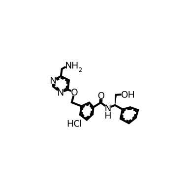 Cl.NCc1cc(OCc2cccc(C(=O)N[C@@H](CO)c3ccccc3)c2)ncn1